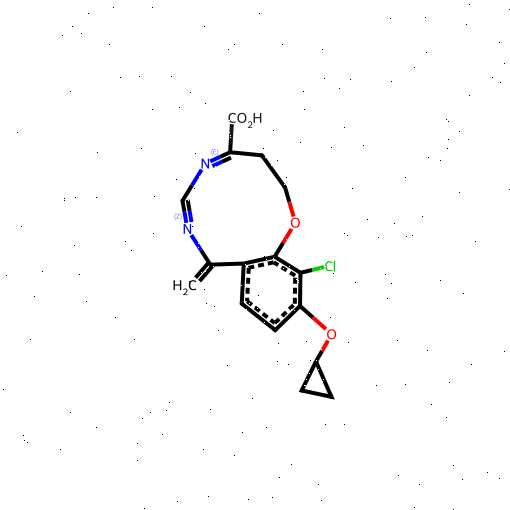 C=C1/N=C\N=C(\C(=O)O)CCOc2c1ccc(OC1CC1)c2Cl